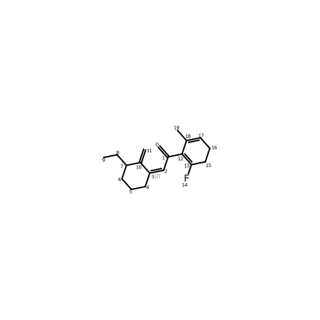 C=C(/C=C1/CCCC(CC)C1=C)C1=C(F)CCC=C1C